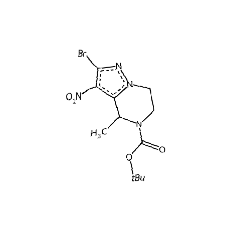 CC1c2c([N+](=O)[O-])c(Br)nn2CCN1C(=O)OC(C)(C)C